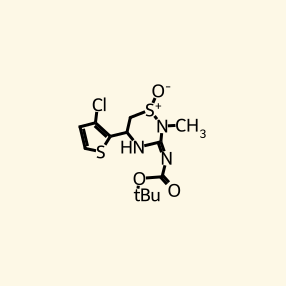 CN1C(=NC(=O)OC(C)(C)C)NC(c2sccc2Cl)C[S+]1[O-]